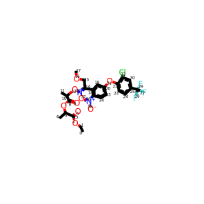 CCOC(=O)C(C)OC(=O)C(C)ON=C(COC)c1cc(Oc2ccc(C(F)(F)F)cc2Cl)ccc1[N+](=O)[O-]